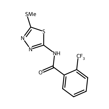 CSc1nnc(NC(=O)c2ccccc2C(F)(F)F)s1